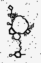 CO[C@H]1/C=C/CCCS(=O)(NC(=O)C2CCC2)=NC(=O)c2ccc3c(c2)N(C[C@@H](CCCc2cc(Cl)ccc2C)CO3)C[C@@H]2CC[C@H]21